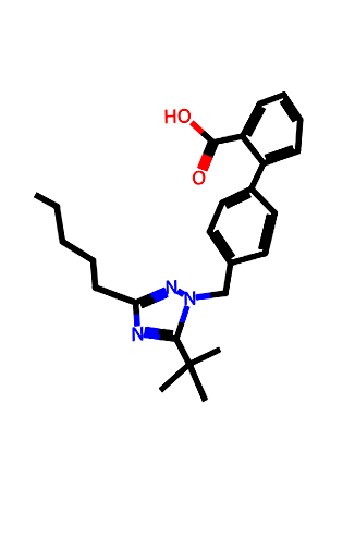 CCCCCc1nc(C(C)(C)C)n(Cc2ccc(-c3ccccc3C(=O)O)cc2)n1